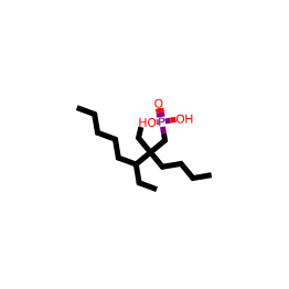 CCCCCC(CC)C(CC)(CCCC)CP(=O)(O)O